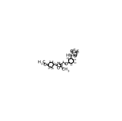 COc1ccc(-c2nc(COc3cccc(NS(=O)(=O)C(F)(F)F)c3)c(C)o2)cc1